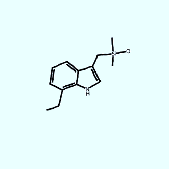 CCc1cccc2c(C[Si](C)(C)[O])c[nH]c12